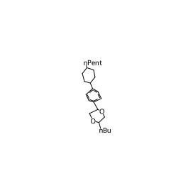 CCCCCC1CCC(c2ccc(C3COC(CCCC)CO3)cc2)CC1